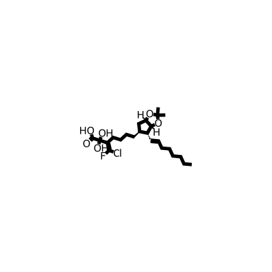 CCCCCCC=C[C@@H]1[C@@H](CCCCC(=C(F)Cl)C(O)(O)C(=O)O)C[C@H]2OC(C)(C)O[C@@H]12